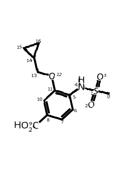 CS(=O)(=O)Nc1ccc(C(=O)O)cc1OCC1CC1